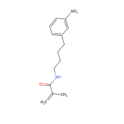 C=C(C)C(=O)NCCCCc1cccc([N+](=O)[O-])c1